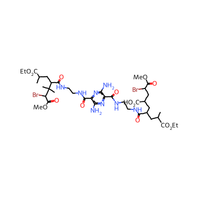 CCOC(=O)C(C)CC(CC(CC(Br)C(=O)OC)C(=O)O)C(=O)NCCNC(=O)c1nc(N)c(C(=O)NCCNC(=O)C(CC(C)C(=O)OCC)C(C)(C)C(Br)C(=O)OC)nc1N